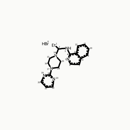 Br.CCC(Nc1nccc2ccccc12)N1CCN(c2ncccn2)CC1